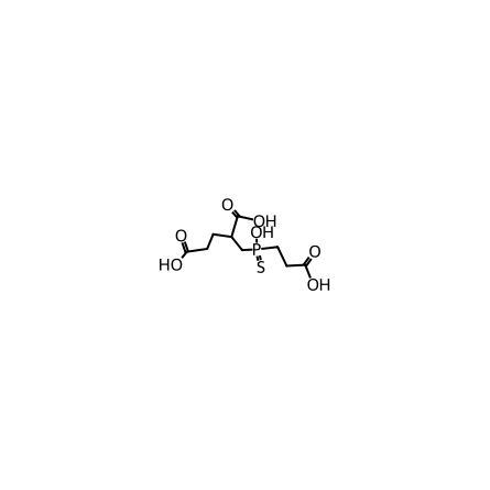 O=C(O)CCC(CP(O)(=S)CCC(=O)O)C(=O)O